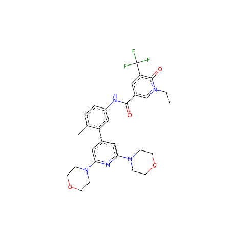 CCn1cc(C(=O)Nc2ccc(C)c(-c3cc(N4CCOCC4)nc(N4CCOCC4)c3)c2)cc(C(F)(F)F)c1=O